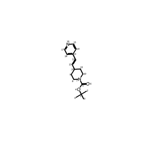 CC(C)(C)OC(=O)N1CCC(C=Cc2ccncc2)CC1